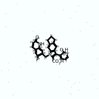 O=C(O)c1c(-c2ccc[nH]c2=O)c2cc3c(cc2n1Cc1cc2[nH]c(=O)ccc2cc1F)CCC3